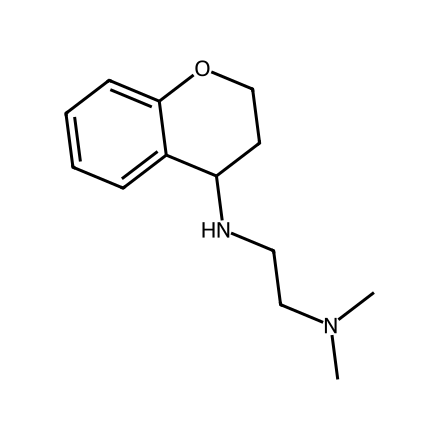 CN(C)CCNC1CCOc2ccccc21